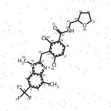 Cc1cc(C(F)(F)F)cc2c1nc(Cc1c(Cl)ccc(C(=O)NCC3CCCO3)c1Cl)n2C